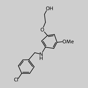 COc1cc(NCc2ccc(Cl)cc2)cc(OCCO)c1